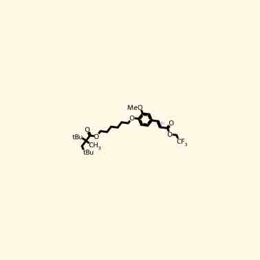 COc1cc(/C=C/C(=O)OCC(F)(F)F)ccc1OCCCCCCOC(=O)C(C)(CC(C)(C)C)C(C)(C)C